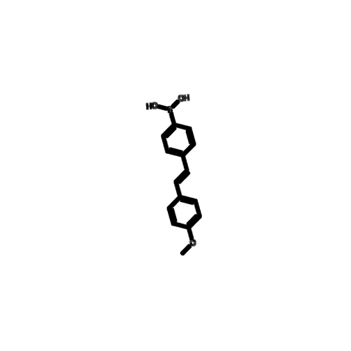 COc1ccc(C=Cc2ccc(B(O)O)cc2)cc1